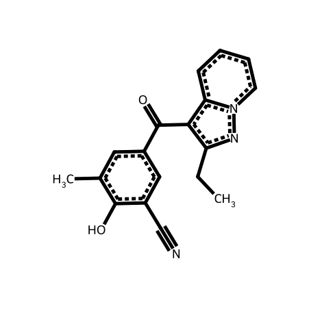 CCc1nn2ccccc2c1C(=O)c1cc(C)c(O)c(C#N)c1